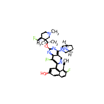 C#Cc1c(F)ccc2cc(O)cc(-c3ncc4c(N5C[C@H]6CC[C@@H](C5)N6)nc(O[C@@H](C)C5(C)CN(C)CC/C5=C\F)nc4c3F)c12